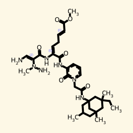 CCC1(C)CC2(C)CC(C)CC(NC(=O)Cn3cccc(NC(=O)/C(=C\C/C=C/C(=O)OC)NC(=O)/C(=C/N)N(C)N)c3=O)(C1)C2